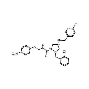 O=C(NCCc1ccc([N+](=O)[O-])cc1)[C@@H]1C[C@H](NCc2ccc(Cl)cc2)CN1Cc1ccccc1Cl